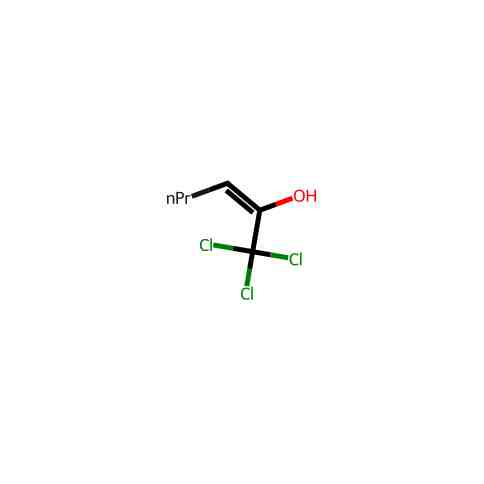 CCC/C=C(/O)C(Cl)(Cl)Cl